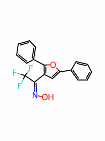 O/N=C(\c1cc(-c2ccccc2)oc1-c1ccccc1)C(F)(F)F